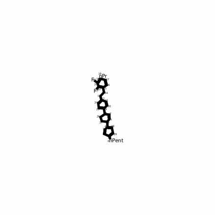 CCCCCc1ccc(C2C=CC(c3ccc(CCc4ccc(CCC)c(F)c4F)cc3)CC2)cc1